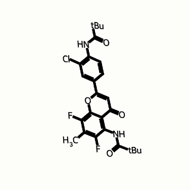 Cc1c(F)c(NC(=O)C(C)(C)C)c2c(=O)cc(-c3ccc(NC(=O)C(C)(C)C)c(Cl)c3)oc2c1F